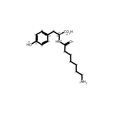 NCCCCCCC(=O)N[C@@H](Cc1ccc(O)cc1)C(=O)O